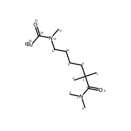 CN(C)C(=O)C(C)(C)CCCCN(C)C(=O)C(C)(C)C